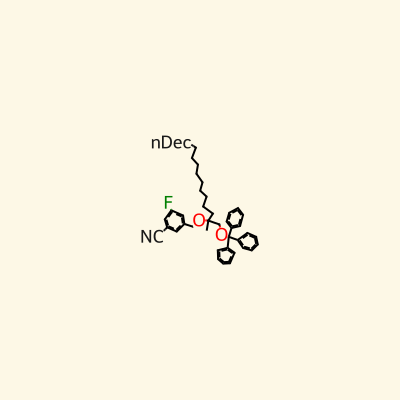 CCCCCCCCCCCCCCCCCCCC(C)(COC(c1ccccc1)(c1ccccc1)c1ccccc1)OCc1cc(F)cc(C#N)c1